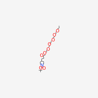 CCCOCCOCCOCCOCCOCCOCC(=O)CCC1CCN(C(=O)OC(C)(C)C)CC1